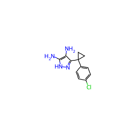 Nc1[nH]nc(C2(c3ccc(Cl)cc3)CC2)c1N